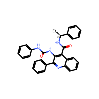 CC[C@H](NC(=O)c1c(NC(=O)Nc2ccccc2)c(-c2ccccc2)nc2ccccc12)c1ccccc1